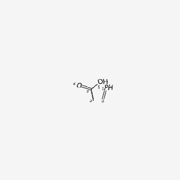 C=P.CC(=O)O